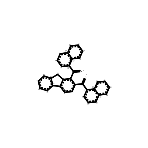 S=C(c1ccc2c(c1C(=S)c1cccc3ccccc13)Cc1ccccc1-2)c1cccc2ccccc12